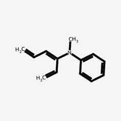 C=C/C=C(\C=C)N(C)c1ccccc1